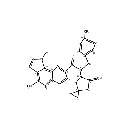 Cn1ncc2c(N)nc3ccc(C(=O)N(Cc4ccc(C(F)(F)F)cn4)N4CC5(CC5)CC4=O)cc3c21